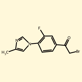 Cc1cn(-c2ccc(C(=O)CBr)cc2F)cn1